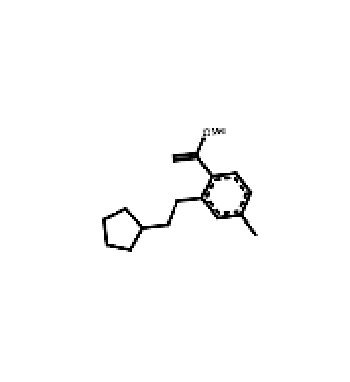 C=C(OC)c1ccc(C)cc1CCC1CCCC1